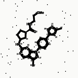 COCCNC(=O)[C@@H]1CCC(Nc2ncc3c(Br)nn(-c4ccc(-c5nnc(C)s5)cc4)c3n2)C1